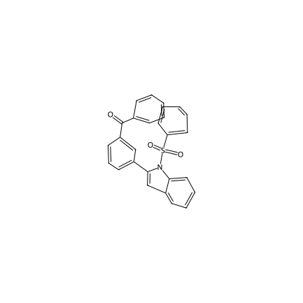 O=C(c1ccccc1)c1cccc(-c2cc3ccccc3n2S(=O)(=O)c2ccccc2)c1